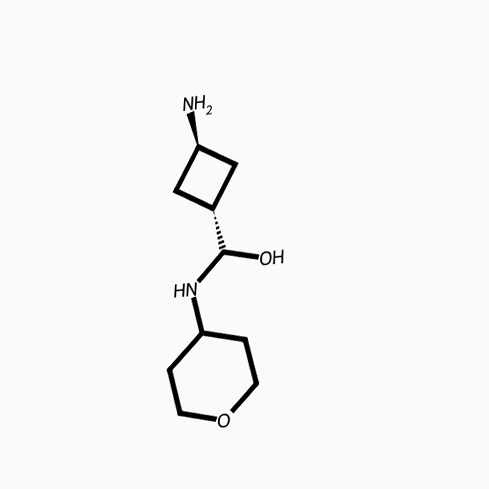 N[C@H]1C[C@H](C(O)NC2CCOCC2)C1